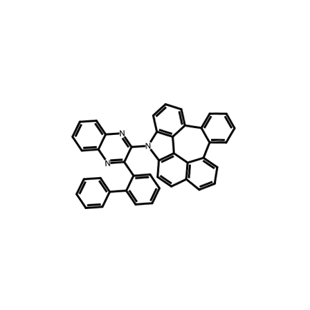 c1ccc(-c2ccccc2-c2nc3ccccc3nc2-n2c3cccc4c3c3c5c(cccc5ccc32)-c2ccccc2-4)cc1